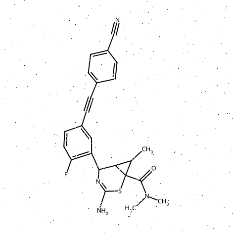 CC1C2C(c3cc(C#Cc4ccc(C#N)cc4)ccc3F)N=C(N)SC12C(=O)N(C)C